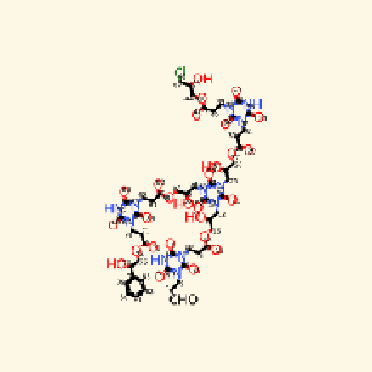 O=CCCn1c(=O)[nH]c(=O)n(CCC(=O)OCC(O)Cn2c(=O)n(CC(O)COC(=O)CCn3c(=O)[nH]c(=O)n(CCC(=O)OCC(O)CCl)c3=O)c(=O)n(CC(O)COC(=O)CCn3c(=O)[nH]c(=O)n(CCC(=O)OCC(O)c4ccccc4)c3=O)c2=O)c1=O